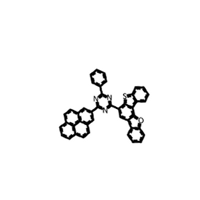 c1ccc(-c2nc(-c3cc4ccc5cccc6ccc(c3)c4c56)nc(-c3cc4c5ccccc5oc4c4c3sc3ccccc34)n2)cc1